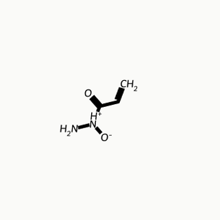 C=CC(=O)[NH+](N)[O-]